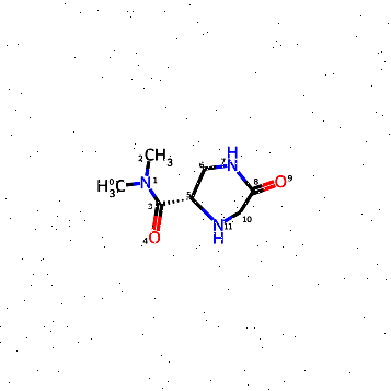 CN(C)C(=O)[C@@H]1CNC(=O)CN1